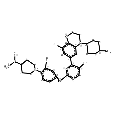 CN(C)C1CCN(c2ccc(Nc3ncc(F)c(-c4cc(F)c5c(c4)N(C4CCC(N)CC4)CCO5)n3)cc2F)CC1